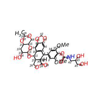 COc1cc(C2c3cc4c(cc3C(OC3OC5COC(C)OC5CC3O)C3COC(=O)[C@H]23)OCO4)cc(OC)c1OC(=O)NCC(O)CO